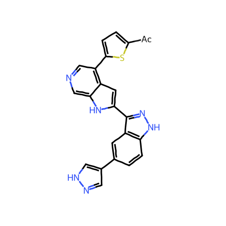 CC(=O)c1ccc(-c2cncc3[nH]c(-c4n[nH]c5ccc(-c6cn[nH]c6)cc45)cc23)s1